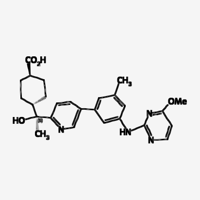 COc1ccnc(Nc2cc(C)cc(-c3ccc([C@@](C)(O)[C@H]4CC[C@H](C(=O)O)CC4)nc3)c2)n1